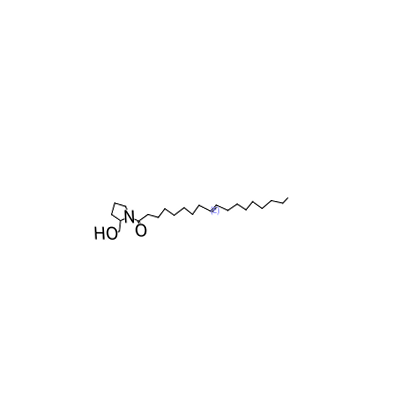 CCCCCCCC/C=C/CCCCCCCC(=O)N1CCCC1CO